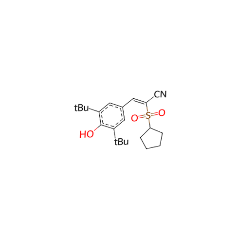 CC(C)(C)c1cc(C=C(C#N)S(=O)(=O)C2CCCC2)cc(C(C)(C)C)c1O